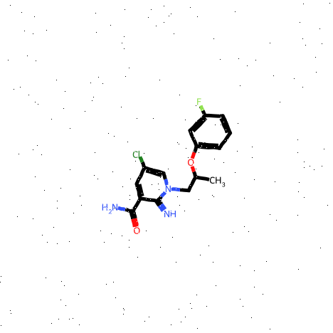 CC(Cn1cc(Cl)cc(C(N)=O)c1=N)Oc1cccc(F)c1